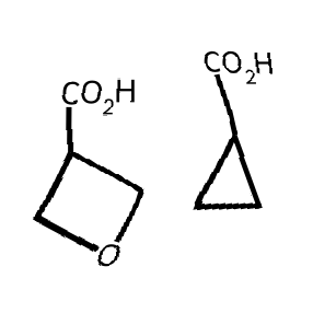 O=C(O)C1CC1.O=C(O)C1COC1